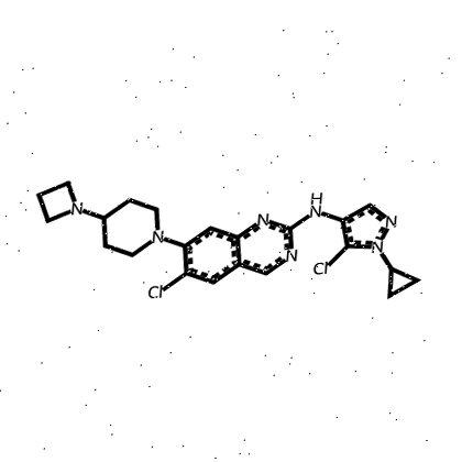 Clc1cc2cnc(Nc3cnn(C4CC4)c3Cl)nc2cc1N1CCC(N2CCC2)CC1